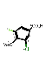 COc1c(F)cc(C(=O)O)cc1Cl